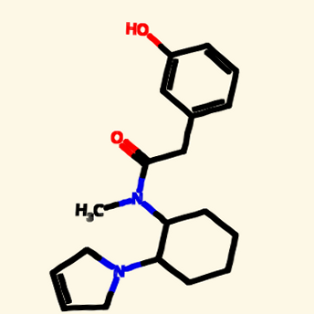 CN(C(=O)Cc1cccc(O)c1)C1CCCCC1N1CC=CC1